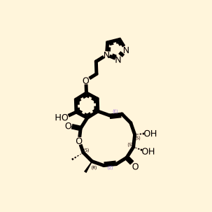 C[C@@H]1/C=C\C(=O)[C@@H](O)[C@@H](O)C/C=C/c2cc(OCCn3ccnn3)cc(O)c2C(=O)O[C@H]1C